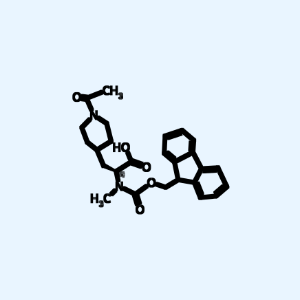 CC(=O)N1CCC(C[C@@H](C(=O)O)N(C)C(=O)OCC2c3ccccc3-c3ccccc32)CC1